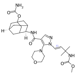 COC(=O)NC(C)(C)/C=C/n1ncc(C(=O)N[C@H]2C3CC4(OC(N)=O)CC2C[C@@H](C3)C4)c1N1CCOCC1